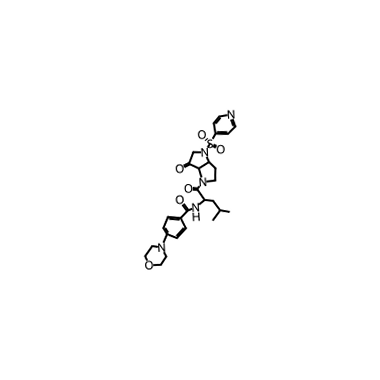 CC(C)CC(NC(=O)c1ccc(N2CCOCC2)cc1)C(=O)N1CCC2C1C(=O)CN2S(=O)(=O)c1ccncc1